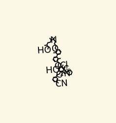 Cc1c(COc2cc(OCc3cccc(C#N)c3)c(CN3CCCC[C@H]3C(=O)O)cc2Cl)cccc1-c1cccc(OCCCN(C)C(C)CCC(C)CO)c1C